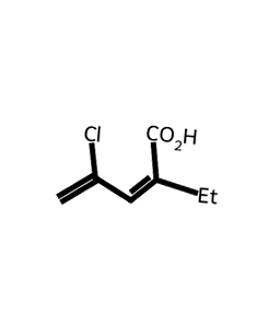 C=C(Cl)C=C(CC)C(=O)O